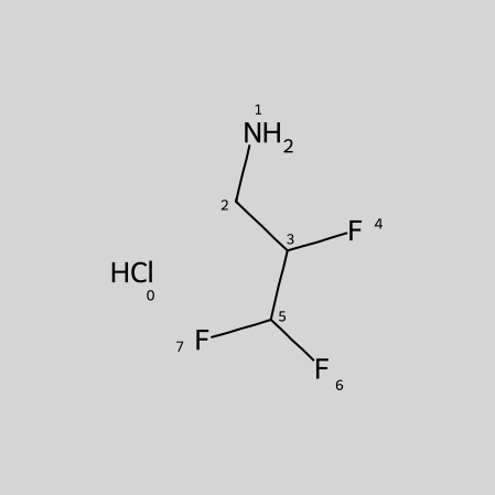 Cl.NCC(F)C(F)F